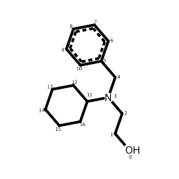 OCCN(Cc1ccccc1)C1CCCCC1